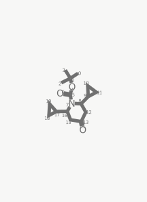 CC(C)(C)OC(=O)N1C(C2CC2)CC(=O)CC1C1CC1